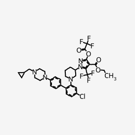 CCOC(=O)c1c(OC(=O)C(F)(F)F)nn(C2CCCN(c3cc(Cl)ccc3-c3ccc(N4CCN(CC5CC5)CC4)cc3)C2)c1C(F)(F)F